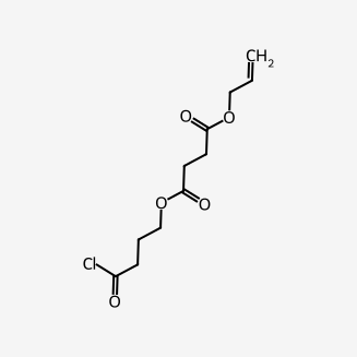 C=CCOC(=O)CCC(=O)OCCCC(=O)Cl